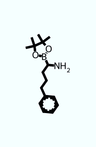 CC1(C)OB(C(N)CCCc2ccccc2)OC1(C)C